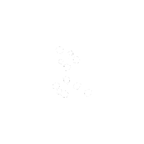 c1ccc(-c2ccc(-c3cc(-c4ccc5c(c4)-c4ccccc4C54c5ccccc5-c5ccccc5-c5ccccc54)nc(-c4cccc5oc6ccccc6c45)n3)cc2)cc1